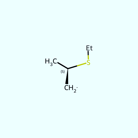 [CH2][C@@H](C)SCC